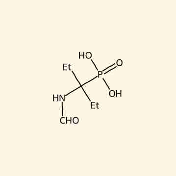 CCC(CC)(NC=O)P(=O)(O)O